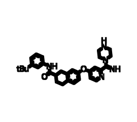 CC(C)(C)c1cccc(NC(=O)C2CCc3ccc(Oc4ccnc(C(=N)N5CCNCC5)c4)cc3C2)c1